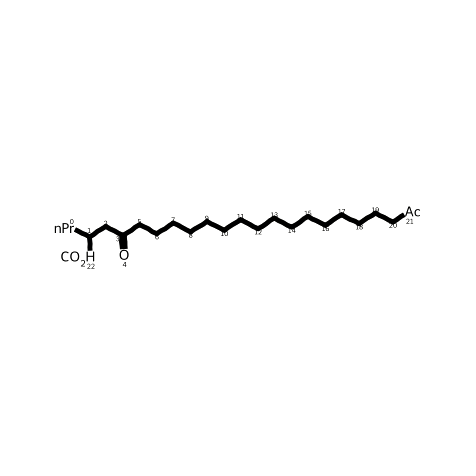 CCCC(CC(=O)CCCCCCCCCCCCCCCCC(C)=O)C(=O)O